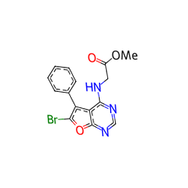 COC(=O)CNc1ncnc2oc(Br)c(-c3ccccc3)c12